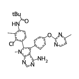 Cc1ccnc(Oc2ccc(-c3c(-c4ccc(NC(=O)C(C)(C)C)c(C)c4Cl)n(C)c4ncnc(N)c34)cc2)n1